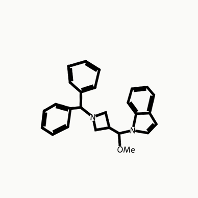 COC(C1CN(C(c2ccccc2)c2ccccc2)C1)n1ccc2ccccc21